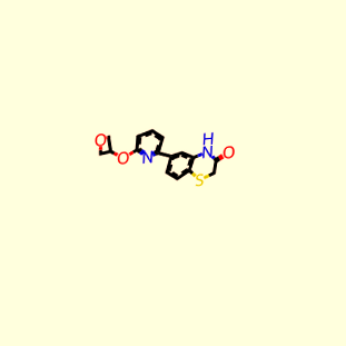 O=C1CSc2ccc(-c3cccc(OC4COC4)n3)cc2N1